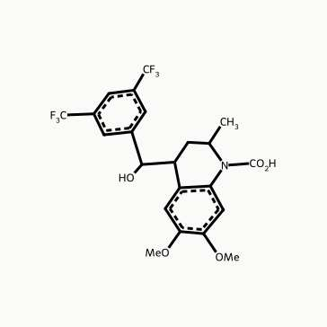 COc1cc2c(cc1OC)N(C(=O)O)C(C)CC2C(O)c1cc(C(F)(F)F)cc(C(F)(F)F)c1